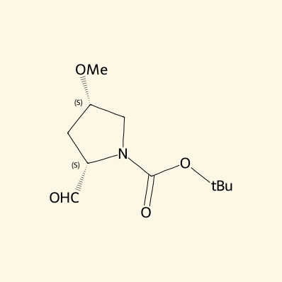 CO[C@H]1C[C@@H](C=O)N(C(=O)OC(C)(C)C)C1